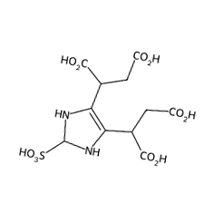 O=C(O)CC(C(=O)O)C1=C(C(CC(=O)O)C(=O)O)NC(S(=O)(=O)O)N1